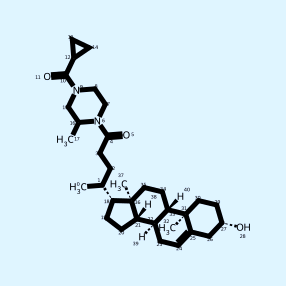 CC(CCC(=O)N1CCN(C(=O)C2CC2)CC1C)[C@H]1CC[C@H]2[C@@H]3CC=C4C[C@@H](O)CC[C@]4(C)[C@H]3CC[C@]12C